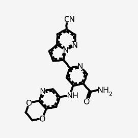 N#Cc1cnn2c(-c3cc(Nc4cnc5c(c4)OCCO5)c(C(N)=O)cn3)ccc2c1